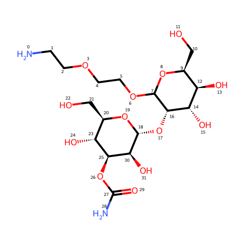 NCCOCCOC1O[C@@H](CO)[C@@H](O)[C@H](O)[C@@H]1O[C@H]1O[C@H](CO)[C@@H](O)[C@H](OC(N)=O)[C@@H]1O